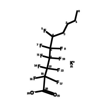 CCCCC(F)C(F)(F)C(F)(F)C(F)(F)C(F)(F)C(=O)[O-].[K+]